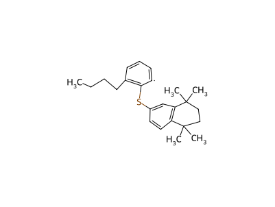 CCCCc1ccc[c]c1Sc1ccc2c(c1)C(C)(C)CCC2(C)C